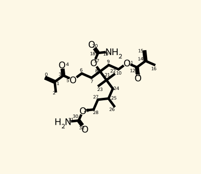 C=C(C)C(=O)OCCC(CCOC(=O)C(=C)C)(OC(N)=O)C(C)(C)CC(C)CCOC(N)=O